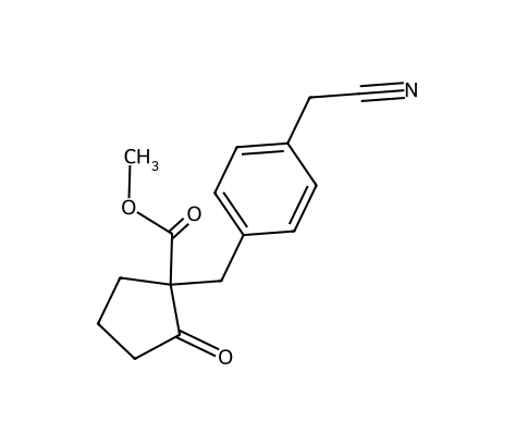 COC(=O)C1(Cc2ccc(CC#N)cc2)CCCC1=O